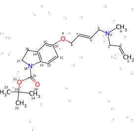 C=CCN(C)CC=CCOc1ccc2c(c1)CCN2C(=O)OC(C)(C)C